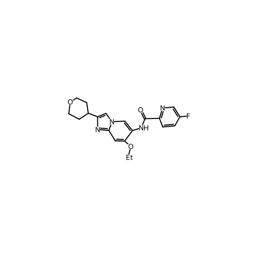 CCOc1cc2nc(C3CCOCC3)cn2cc1NC(=O)c1ccc(F)cn1